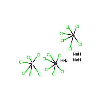 [Cl][Ir]([Cl])([Cl])([Cl])([Cl])[Cl].[Cl][Ir]([Cl])([Cl])([Cl])([Cl])[Cl].[Cl][Ir]([Cl])([Cl])([Cl])([Cl])[Cl].[NaH].[NaH].[NaH]